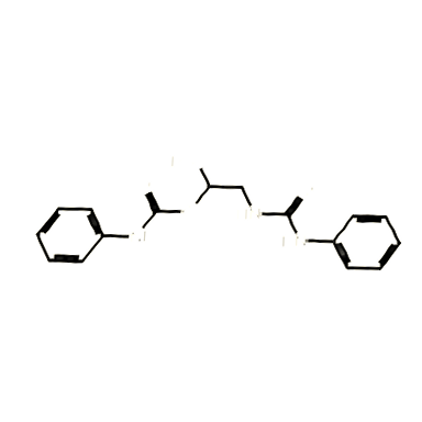 CC(CNC(=O)Nc1ccccc1)OC(=O)Nc1ccccc1